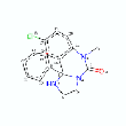 CN1C(=O)N2CCNC2(c2ccccc2)c2cc(Cl)ccc21